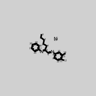 CCCCCC(/C=N/c1ccc(C)c(C)c1)=N\c1ccccc1.[Ni]